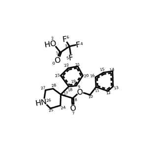 O=C(O)C(F)(F)F.O=C(OCc1ccccc1)C1(c2ccccc2)CCNCC1